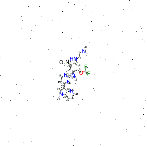 CN(C)CCNc1cc(OC(F)F)c(N(C)c2nccc(-c3cn(C)c4cccnc34)n2)cc1[N+](=O)[O-]